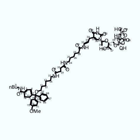 CCCCNC(=O)C1=CC=C(C(OCCCCCCNC(=O)CCC(=O)NCCCCCC(=O)N/C=C/Cc2cn(C(C)O[C@H](COP(=O)(O)OP(=O)(O)OP(=O)(O)O)C(C)O)c(=O)[nH]c2=O)(c2ccccc2)c2ccc(OC)cc2)CC1